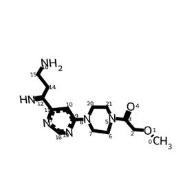 COCC(=O)N1CCN(c2cc(C(=N)CCN)ncn2)CC1